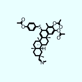 C/N=C\[C@]1(C)CC[C@]2(C)CC[C@]3(C)C4=CC(Sc5ccc(OC(C)=O)cc5)c5c(cc(OC(C)=O)c(OC(C)=O)c5C)[C@]4(C)CC[C@@]3(C)[C@@H]2C1